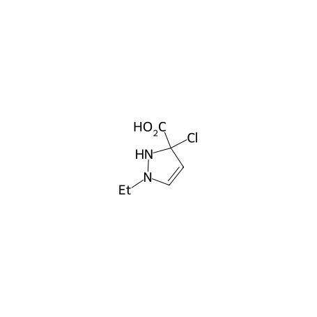 CCN1C=CC(Cl)(C(=O)O)N1